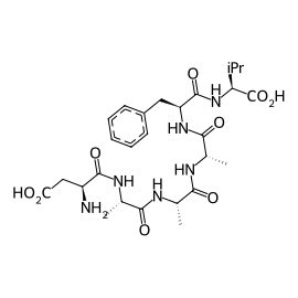 CC(C)[C@H](NC(=O)[C@H](Cc1ccccc1)NC(=O)[C@H](C)NC(=O)[C@H](C)NC(=O)[C@H](C)NC(=O)[C@@H](N)CC(=O)O)C(=O)O